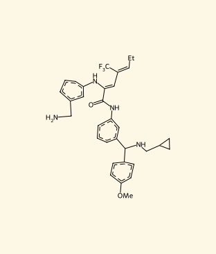 CC/C=C(/C=C(\Nc1cccc(CN)c1)C(=O)Nc1cccc(C(NCC2CC2)c2ccc(OC)cc2)c1)C(F)(F)F